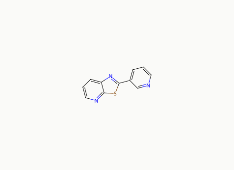 c1cncc(-c2nc3cccnc3s2)c1